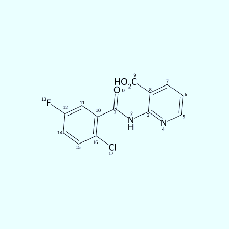 O=C(Nc1ncccc1C(=O)O)c1cc(F)ccc1Cl